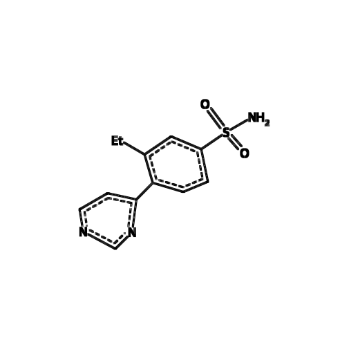 CCc1cc(S(N)(=O)=O)ccc1-c1ccncn1